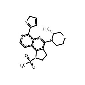 C[C@@H]1COCCN1c1nc2c(C3=NCC=C3)nccc2c2c1CCN2S(C)(=O)=O